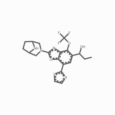 CCC(O)c1cc(-c2nccs2)c2oc(N3CC4CCC(C3)N4)nc2c1OC(F)(F)F